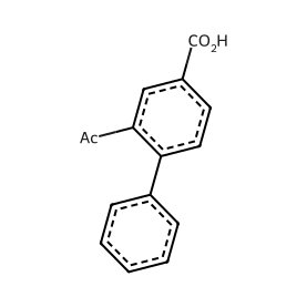 CC(=O)c1cc(C(=O)O)ccc1-c1ccccc1